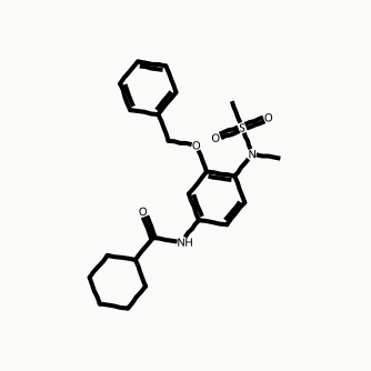 CN(c1ccc(NC(=O)C2CCCCC2)cc1OCc1ccccc1)S(C)(=O)=O